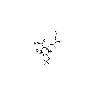 CCOC(=O)C(C)C[C@H](NC(=O)OC(C)(C)C)C(C(=O)O)C(=O)O